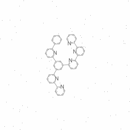 c1ccc(-c2cccc(-c3cc(-c4cccc(-c5ccccn5)n4)cc(-c4cccc(-c5cccc(-c6ccccn6)n5)n4)c3)n2)cc1